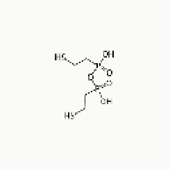 O=P(O)(CCS)OP(=O)(O)CCS